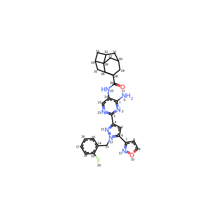 Nc1nc(-c2cc(-c3ccon3)n(Cc3ccccc3F)n2)ncc1NC(=O)C12CC3CC4CC(C1)C4(C3)C2